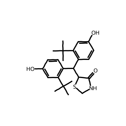 CC(C)(C)c1cc(O)ccc1C(c1ccc(O)cc1C(C)(C)C)C1SCNC1=O